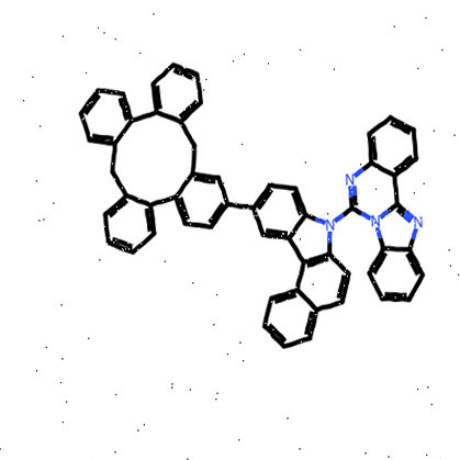 c1ccc2c(c1)Cc1ccccc1-c1ccc(-c3ccc4c(c3)c3c5ccccc5ccc3n4-c3nc4ccccc4c4nc5ccccc5n34)cc1Cc1ccccc1-2